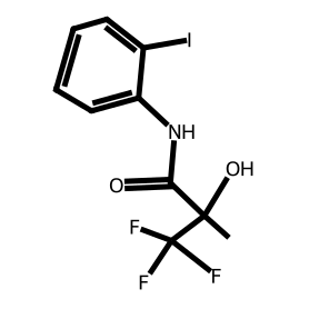 CC(O)(C(=O)Nc1ccccc1I)C(F)(F)F